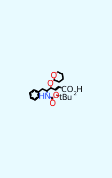 CC(C)(C)OC(=O)NC(Cc1ccccc1)C(C=CC(=O)O)OC1CCCCO1